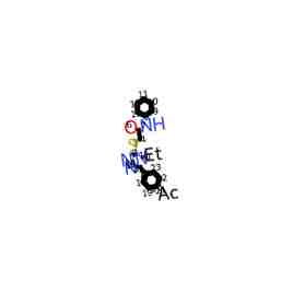 CCn1c(SCC(=O)Nc2ccccc2)nnc1-c1ccc(C(C)=O)cc1